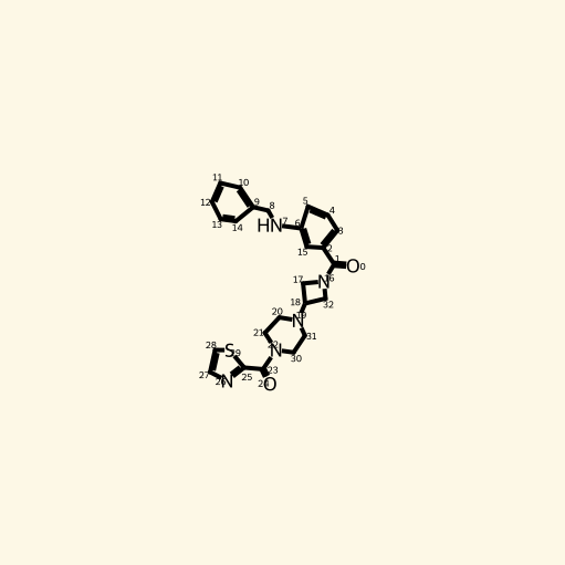 O=C(c1cccc(NCc2ccccc2)c1)N1CC(N2CCN(C(=O)c3nccs3)CC2)C1